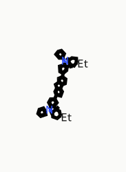 CCC1CCC2(C)N(c3ccccc3)c3ccc(-c4ccc5c(c4)Cc4cc(-c6ccc7c(c6)C6(C)CC(CC)CCC6(C)N7c6ccccc6)ccc4-5)cc3C2(C)C1